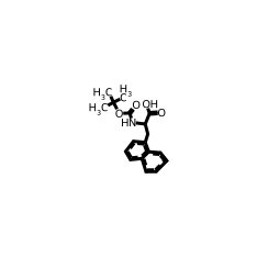 CC(C)(C)OC(=O)NC(Cc1cccc2ccccc12)C(=O)O